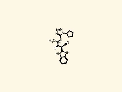 C[C@@H](Sc1nnnn1C1CCCC1)C(=O)C(C#N)=C1Nc2ccccc2N1